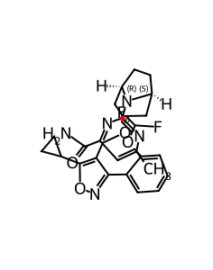 Cc1cc(C(N)=O)nc(N2[C@@H]3CC[C@H]2C[C@H](OCc2c(-c4ccccc4OC(F)F)noc2C2CC2)C3)n1